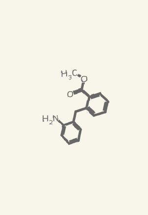 COC(=O)c1ccccc1Cc1ccccc1N